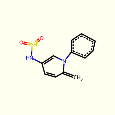 C=C1C=CC(N[SH](=O)=O)=CN1c1ccccc1